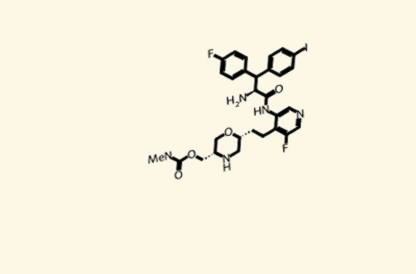 CNC(=O)OC[C@@H]1CO[C@H](CCc2c(F)cncc2NC(=O)[C@@H](N)C(c2ccc(F)cc2)c2ccc(I)cc2)CN1